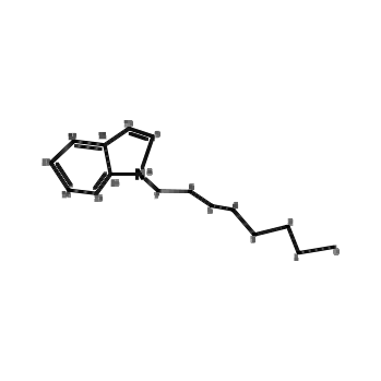 CCCCCCCCn1[c]cc2ccccc21